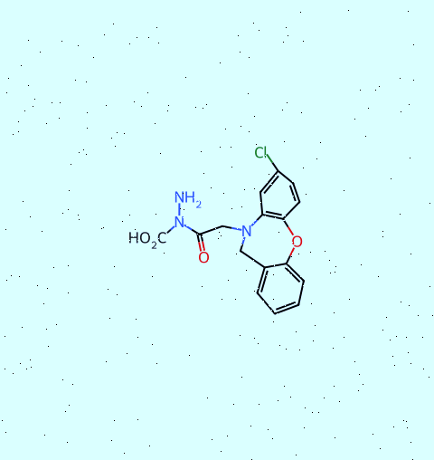 NN(C(=O)O)C(=O)CN1Cc2ccccc2Oc2ccc(Cl)cc21